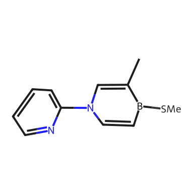 CSB1C=CN(c2ccccn2)C=C1C